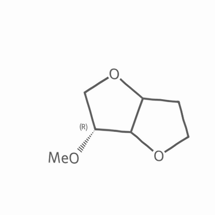 CO[C@@H]1COC2CCOC21